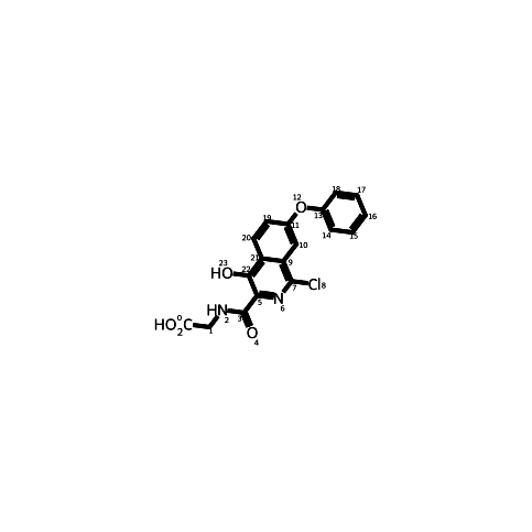 O=C(O)CNC(=O)c1nc(Cl)c2cc(Oc3ccccc3)ccc2c1O